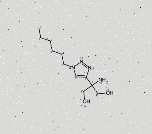 CCCCCCn1cc(C(N)(CO)CO)nn1